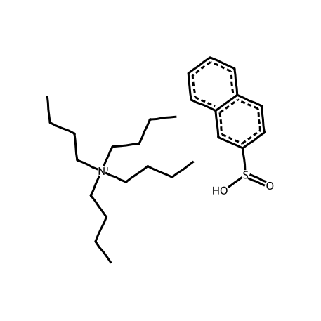 CCCC[N+](CCCC)(CCCC)CCCC.O=S(O)c1ccc2ccccc2c1